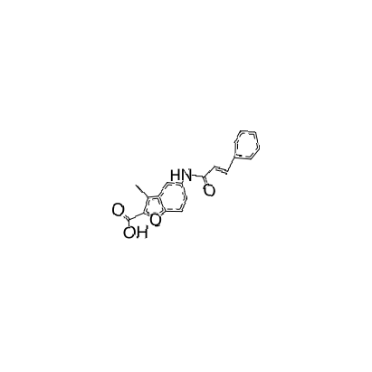 Cc1c(C(=O)O)oc2ccc(NC(=O)C=Cc3ccccc3)cc12